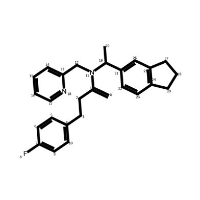 C=C(CCc1ccc(F)cc1)N(Cc1ccccn1)C(C)c1ccc2c(c1)CCC2